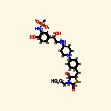 CS(=O)(=O)Nc1cc([C@@H](O)CNC2CCN(c3ccc(CC4SC(=O)N(CC(=O)O)C4=O)cc3)CC2)ccc1O